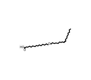 CCCCCCCC/C=C\CCCCCCCCOCCCCCCCCCCCCCCC(=O)O